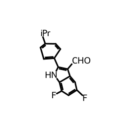 CC(C)c1ccc(-c2[nH]c3c(F)cc(F)cc3c2C=O)cc1